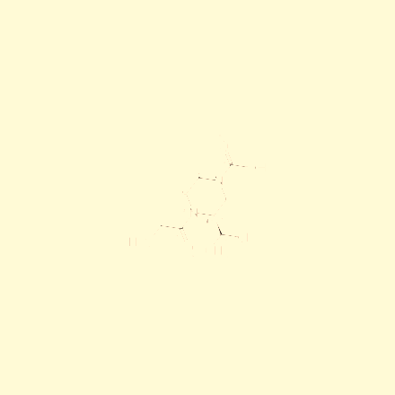 CCC(=O)N1CCN(C(=O)O)C[C@H]1C(C)C